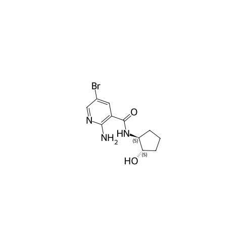 Nc1ncc(Br)cc1C(=O)N[C@H]1CCC[C@@H]1O